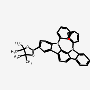 CC1(C)OB(c2ccc3c(c2)c2ccc4c5ccccc5n(-c5ccccc5)c4c2n3-c2ccccc2)OC1(C)C